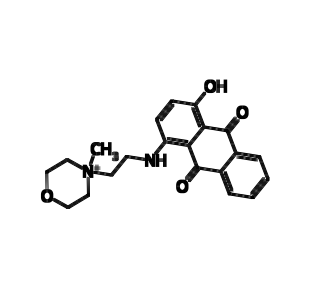 C[N+]1(CCNc2ccc(O)c3c2C(=O)c2ccccc2C3=O)CCOCC1